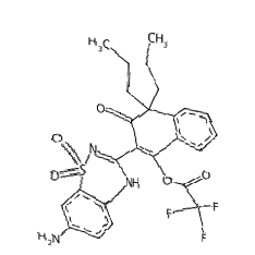 CCCC1(CCC)C(=O)C(C2=NS(=O)(=O)c3cc(N)ccc3N2)=C(OC(=O)C(F)(F)F)c2ccccc21